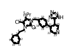 CCCc1c(Cl)n(CCc2ccccc2)c(=O)n1Cc1ccc(-c2ccncc2-c2nnn[nH]2)cc1